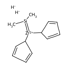 C[Si](C)=[Zr+2]([CH]1C=CC=C1)[CH]1C=CC=C1.[H-].[H-]